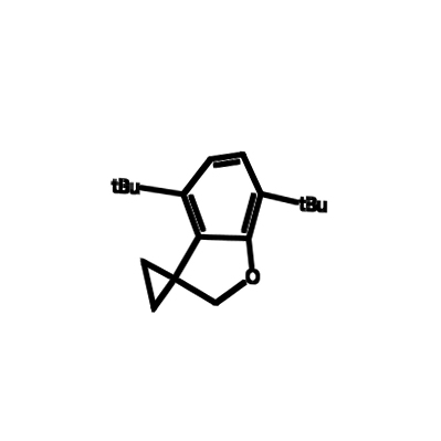 CC(C)(C)c1ccc(C(C)(C)C)c2c1OCC21CC1